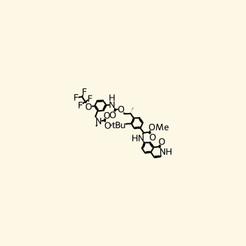 COC(=O)C(Nc1ccc2cc[nH]c(=O)c2c1)c1ccc([C@@H](C)COC(=O)Nc2ccc(OC(F)(F)C(F)F)c(CN(C)C(=O)OC(C)(C)C)c2)c(C)c1